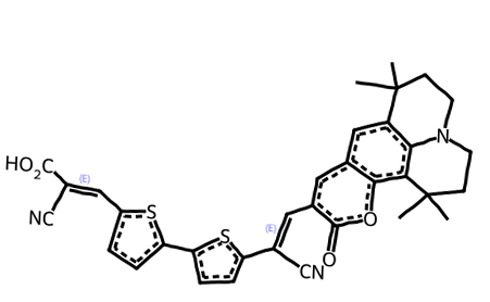 CC1(C)CCN2CCC(C)(C)c3c2c1cc1cc(/C=C(\C#N)c2ccc(-c4ccc(/C=C(\C#N)C(=O)O)s4)s2)c(=O)oc31